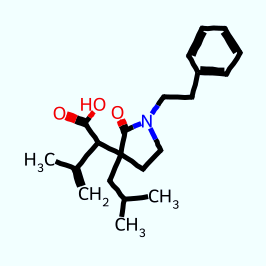 C=C(C)C(C(=O)O)C1(CC(C)C)CCN(CCc2ccccc2)C1=O